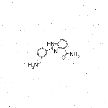 NCc1cccc(-c2nc3c(C(N)=O)cccc3[nH]2)c1